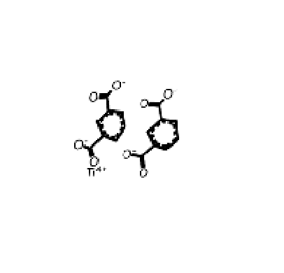 O=C([O-])c1cccc(C(=O)[O-])c1.O=C([O-])c1cccc(C(=O)[O-])c1.[Ti+4]